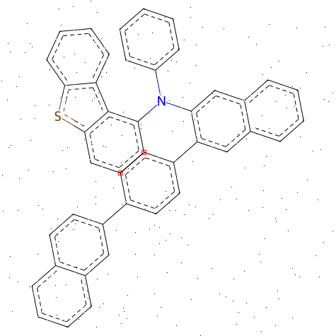 c1ccc(N(c2cc3ccccc3cc2-c2ccc(-c3ccc4ccccc4c3)cc2)c2cccc3sc4ccccc4c23)cc1